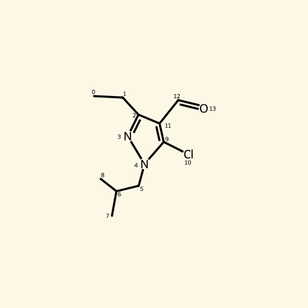 CCc1nn(CC(C)C)c(Cl)c1C=O